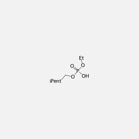 CCCC(C)COP(=O)(O)OCC